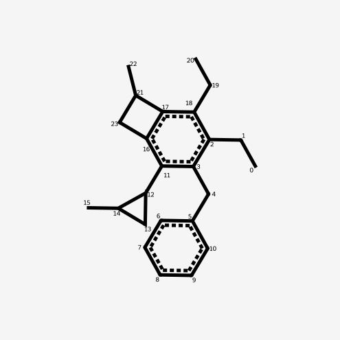 CCc1c(Cc2ccccc2)c([C]2CC2C)c2c(c1CC)C(C)C2